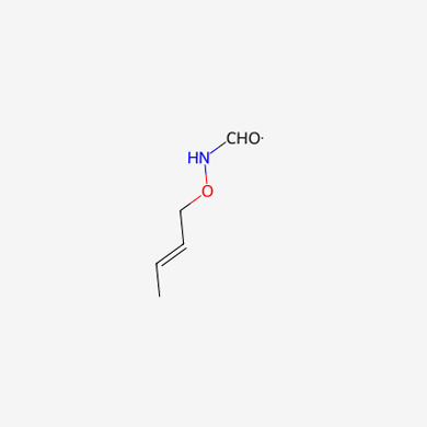 C/C=C/CON[C]=O